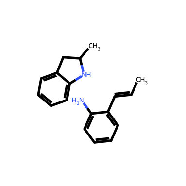 CC1Cc2ccccc2N1.CC=Cc1ccccc1N